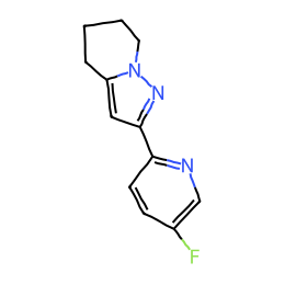 Fc1ccc(-c2cc3n(n2)CCCC3)nc1